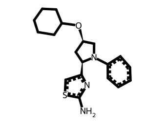 Nc1nc([C@H]2C[C@@H](OC3CCCCC3)CN2c2ccccc2)cs1